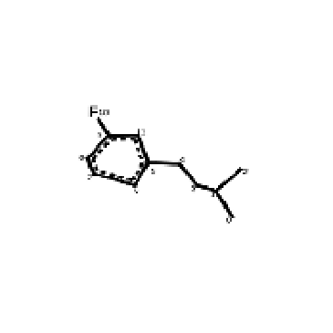 CC(C)CCc1cccc(F)c1